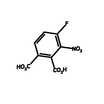 O=C(O)c1ccc(F)c([N+](=O)[O-])c1C(=O)O